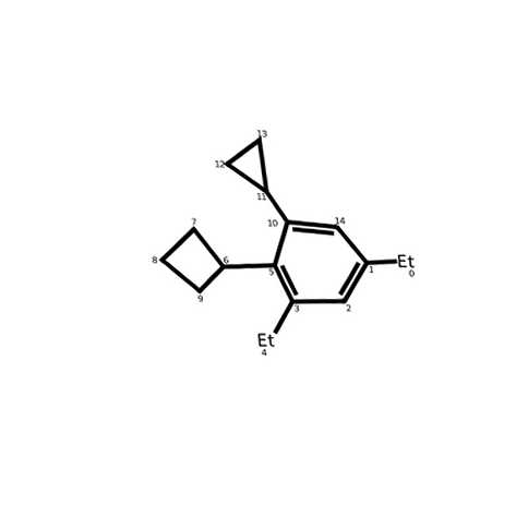 CCc1cc(CC)c(C2CCC2)c(C2CC2)c1